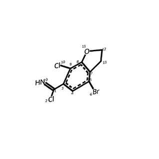 N=C(Cl)c1cc(Br)c2c(c1Cl)OCC2